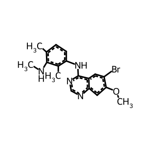 CNc1c(C)ccc(Nc2ncnc3cc(OC)c(Br)cc23)c1C